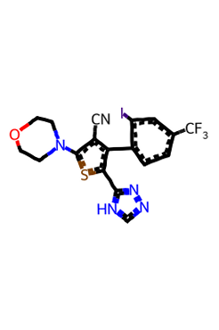 N#Cc1c(N2CCOCC2)sc(-c2nnc[nH]2)c1-c1ccc(C(F)(F)F)cc1I